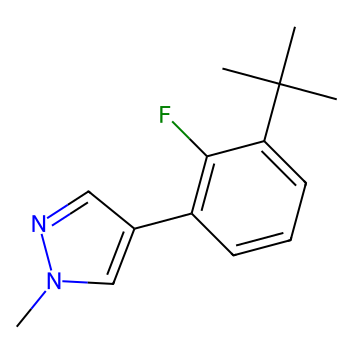 Cn1cc(-c2cccc(C(C)(C)C)c2F)cn1